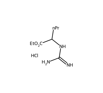 CCCC(NC(=N)N)C(=O)OCC.Cl